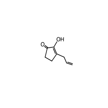 C=CCC1=C(O)C(=O)CC1